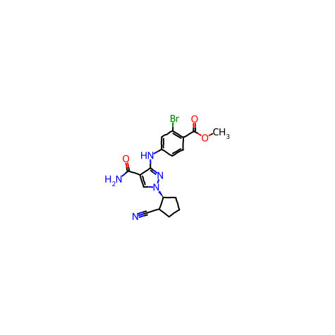 COC(=O)c1ccc(Nc2nn([C@H]3CCCC3C#N)cc2C(N)=O)cc1Br